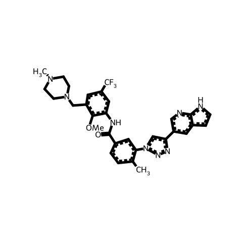 COc1c(CN2CCN(C)CC2)cc(C(F)(F)F)cc1NC(=O)c1ccc(C)c(-n2cc(-c3cnc4[nH]ccc4c3)nn2)c1